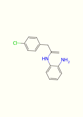 C=C(Cc1ccc(Cl)cc1)Nc1ccccc1N